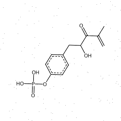 C=C(C)C(=O)C(O)Cc1ccc(OP(=O)(O)O)cc1